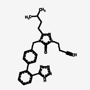 C#CCCn1nc(CCC(C)C)n(Cc2ccc(-c3ccccc3-c3nnn[nH]3)cc2)c1=O